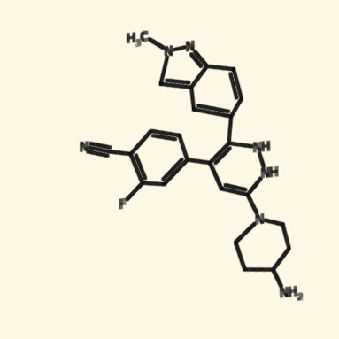 Cn1cc2cc(C3=C(c4ccc(C#N)c(F)c4)C=C(N4CCC(N)CC4)NN3)ccc2n1